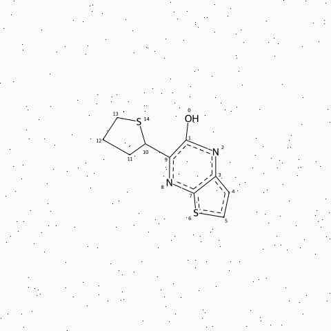 Oc1nc2ccsc2nc1C1CCCS1